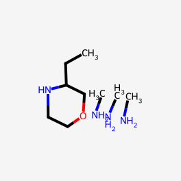 CCC1COCCN1.CN.CN.CN